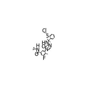 Cc1c(F)cc(C(=O)NC2CC2)cc1-n1ccnc(NC(C)(C)c2ccccc2SCCCl)c1=O